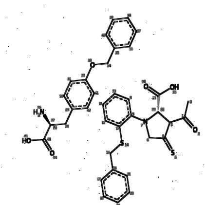 CC(=O)C1C(=S)CN(c2ccccc2SCc2ccccc2)[C@@H]1C(=O)O.N[C@@H](Cc1ccc(OCc2ccccc2)cc1)C(=O)O